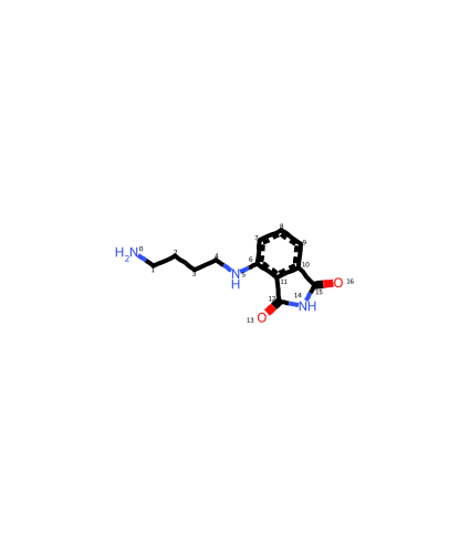 NCCCCNc1cccc2c1C(=O)NC2=O